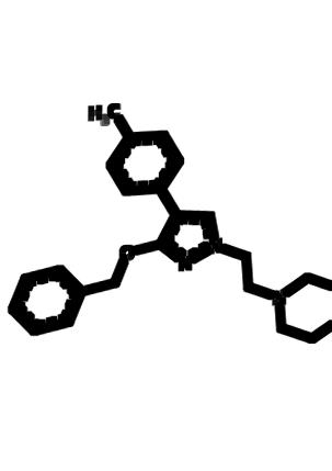 Cc1ccc(-c2cn(CCN3CCCCC3)nc2OCc2ccccc2)cc1